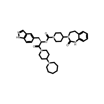 O=C(O[C@H](Cc1ccc2[nH]ncc2c1)C(=O)N1CCC(N2CCCCCC2)CC1)N1CCC(N2CCc3ccccc3NC2=O)CC1